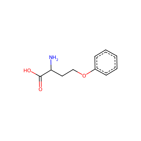 NC(CCOc1ccccc1)C(=O)O